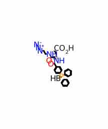 B=P(c1ccccc1)(c1ccccc1)c1ccc(C(=O)N[C@@H](CCC(=O)O)C(=O)NCCN=[N+]=[N-])cc1